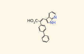 O=C(O)C(=Cc1c[nH]c2ncccc12)c1ccc(-c2ccccc2)cc1